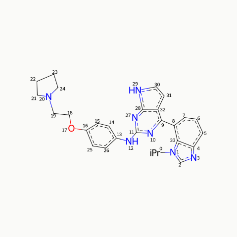 CC(C)n1cnc2cccc(-c3nc(Nc4ccc(OCCN5CCCC5)cc4)nc4[nH]ccc34)c21